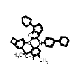 Cc1cc2c3c(c1)C(C)(C)c1cc4c(cc1B3c1oc3c(-c5ccccc5)cccc3c1N2c1ccc(-c2ccccc2)cc1)CC4